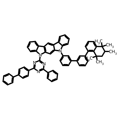 CC1CC(C)(C)c2c(-c3cccc(-c4cccc(-n5c6ccccc6c6cc7c8ccccc8n(-c8nc(-c9ccccc9)nc(-c9ccc(-c%10ccccc%10)cc9)n8)c7cc65)c4)c3)cccc2C1(C)C